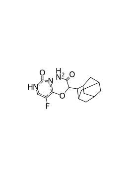 NC(=O)C(Oc1nc(=O)[nH]cc1F)C1C2CC3CC(C2)CC1C3